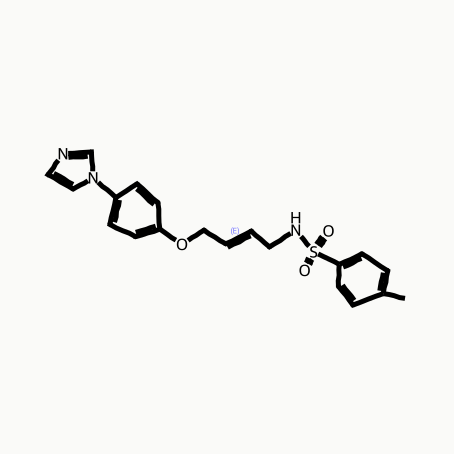 Cc1ccc(S(=O)(=O)NC/C=C/COc2ccc(-n3ccnc3)cc2)cc1